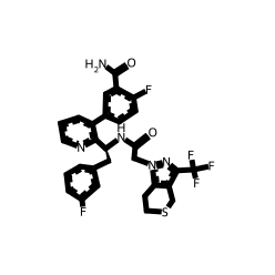 NC(=O)c1cc(-c2cccnc2[C@H](Cc2cccc(F)c2)NC(=O)Cn2nc(C(F)(F)F)c3c2CCSC3)ccc1F